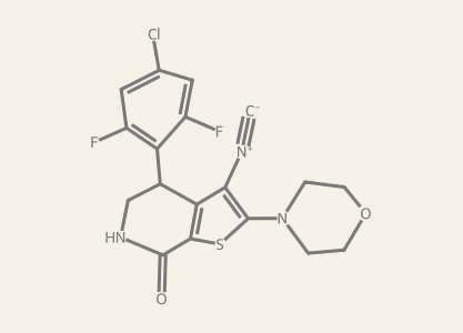 [C-]#[N+]c1c(N2CCOCC2)sc2c1C(c1c(F)cc(Cl)cc1F)CNC2=O